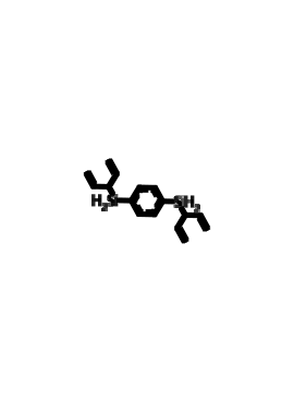 C=CC(C=C)[SiH2]c1ccc([SiH2]C(C=C)C=C)cc1